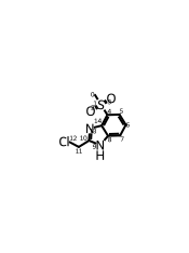 CS(=O)(=O)c1cccc2[nH]c(CCl)nc12